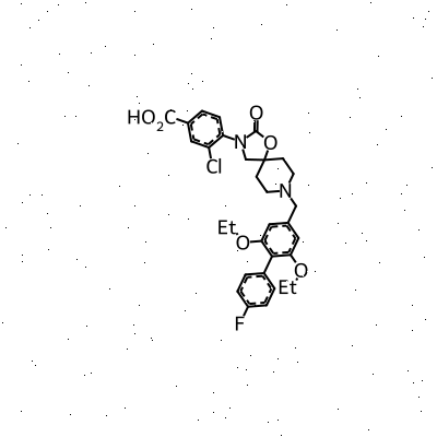 CCOc1cc(CN2CCC3(CC2)CN(c2ccc(C(=O)O)cc2Cl)C(=O)O3)cc(OCC)c1-c1ccc(F)cc1